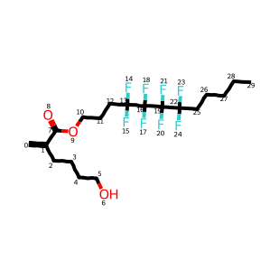 C=C(CCCCO)C(=O)OCCCC(F)(F)C(F)(F)C(F)(F)C(F)(F)CCCCC